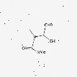 CNC(=O)N(C)C(O)C=O